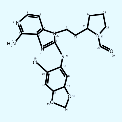 Nc1nccc2c1nc(SC1=CC3OCOC3C=C1Cl)n2CCC1CCCN1C=O